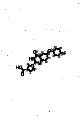 O=C(O)c1cnn(-c2nc3ccc(Oc4ccc(F)cc4)cc3c(=O)[nH]2)c1